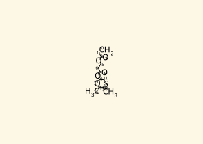 C=CC(=O)OCCC(=O)OC1CSC(C)C(C)O1